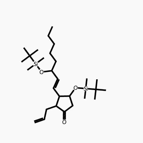 C=CCC1C(=O)CC(O[Si](C)(C)C(C)(C)C)C1C=CC(CCCCC)O[Si](C)(C)C(C)(C)C